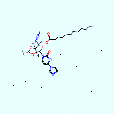 CCCCCCCCCCCC(=O)OC[C@@]1(N=[N+]=[N-])O[C@@H](n2ccc(-n3ccnc3)nc2=O)[C@@H]2O[C@@H](OC)O[C@@H]21